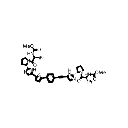 COC(=O)N[C@H](C(=O)N1CCC[C@H]1c1ncc(C#Cc2ccc(-c3ccc(-c4cnc([C@@H]5CCCN5C(=O)[C@@H](NC(=O)OC)C(C)C)[nH]4)s3)cc2)[nH]1)C(C)C